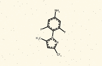 Cc1cc(C(F)(F)F)nn1-c1c(F)cc(N)cc1F